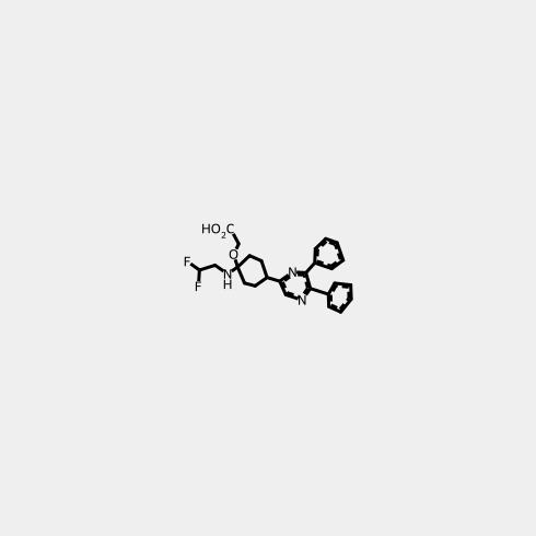 O=C(O)COC1(NCC(F)F)CCC(c2cnc(-c3ccccc3)c(-c3ccccc3)n2)CC1